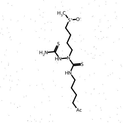 CC(=O)CCCCNC(=S)N(CCCC[S+](C)[O-])NC(N)=S